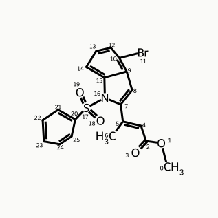 COC(=O)C=C(C)c1cc2c(Br)cccc2n1S(=O)(=O)c1ccccc1